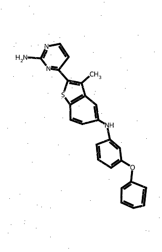 Cc1c(-c2ccnc(N)n2)sc2ccc(Nc3cccc(Oc4ccccc4)c3)cc12